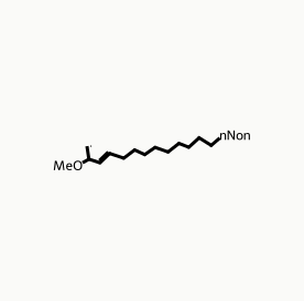 [CH2]C(C=CCCCCCCCCCCCCCCCCCC)OC